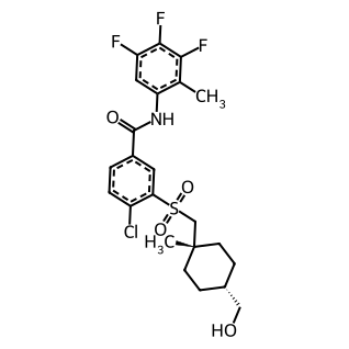 Cc1c(NC(=O)c2ccc(Cl)c(S(=O)(=O)C[C@]3(C)CC[C@H](CO)CC3)c2)cc(F)c(F)c1F